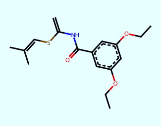 C=C(NC(=O)c1cc(OCC)cc(OCC)c1)SC=C(C)C